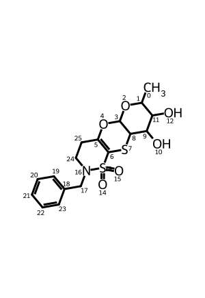 CC1OC2OC3=C(SC2C(O)C1O)S(=O)(=O)N(Cc1ccccc1)CC3